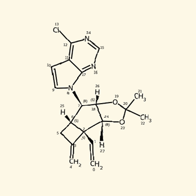 C=C[C@@]12C(=C)C[C@@H]1[C@@H](n1ccc3c(Cl)ncnc31)[C@@H]1OC(C)(C)O[C@@H]12